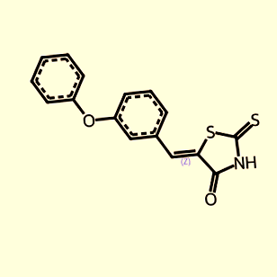 O=C1NC(=S)S/C1=C\c1cccc(Oc2ccccc2)c1